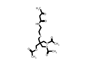 CC(=O)CC(=O)NCCSCC(COC(C)=O)(COC(C)=O)COC(C)=O